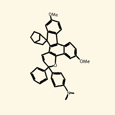 COc1ccc2c(c1)C1(CC3CCC1C3)c1c3c(c4cc(OC)ccc4c1-2)OC(c1ccccc1)(c1ccc(N(C)C)cc1)C=C3